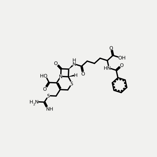 N=C(N)SCC1=C(C(=O)O)N2C(=O)[C@@H](NC(=O)CCCC(NC(=O)c3ccccc3)C(=O)O)[C@@H]2SC1